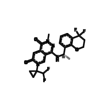 C[C@H](Nc1nn(C)c(=O)c2cc(=O)n(C3(C(F)F)CC3)cc12)c1cccc2c1OCCC2(F)F